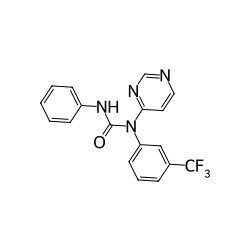 O=C(Nc1ccccc1)N(c1cccc(C(F)(F)F)c1)c1ccncn1